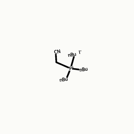 CCCC[P+](CC#N)(CCCC)CCCC.[I-]